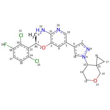 C[C@@H](Oc1cc(-c2cnn(C3CCOCC34CC4)c2)cnc1N)c1c(Cl)ccc(F)c1Cl